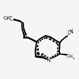 Cc1ncc(C=CC=O)cc1C#N